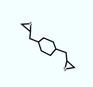 C1CC(CC2CS2)CCC1CC1CS1